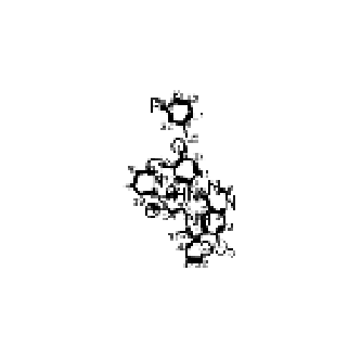 COc1cc2ncnc(Nc3ccc(OCc4cccc(F)c4)c(Cl)c3)c2cc1C1(C(C)NCCS(=O)(=O)c2ccccn2)CC=CO1